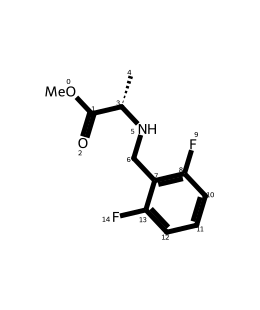 COC(=O)[C@H](C)NCc1c(F)cccc1F